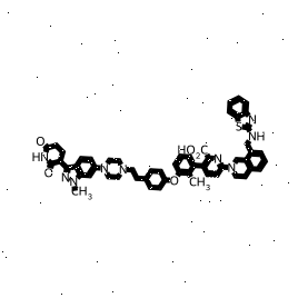 Cc1c(OC2CCC(CCN3CCN(c4ccc5c(C6CCC(=O)NC6=O)nn(C)c5c4)CC3)CC2)cccc1-c1ccc(N2CCc3cccc(CNc4nc5ccccc5s4)c3C2)nc1C(=O)O